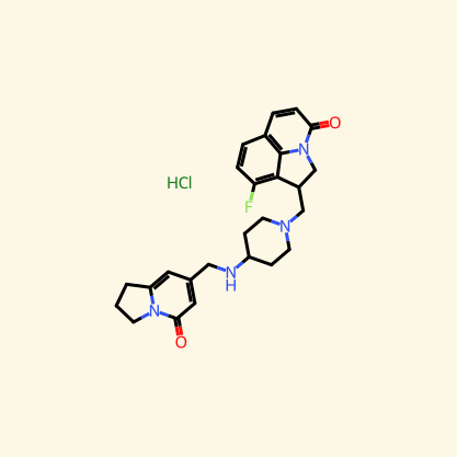 Cl.O=c1cc(CNC2CCN(CC3Cn4c(=O)ccc5ccc(F)c3c54)CC2)cc2n1CCC2